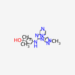 Cn1cc([N+]23C=CN=CC2=NC(Nc2ccc(C(C)(C)O)cc2)=N3)cn1